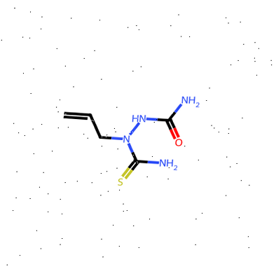 C=CCN(NC(N)=O)C(N)=S